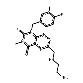 Cn1c(=O)c2nc(CNCCN)nnc2n(Cc2ccc(F)c(F)c2)c1=O